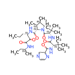 CCC[C@H](NC(=O)[C@@H]1[C@@H](C)[C@@H](C)CN1C(=O)[C@@H](NC(=O)[C@@H](NC(=O)c1cnccn1)C(C)(C)C)C(C)(C)C)C(=O)C(=O)N[C@@H](C)CC